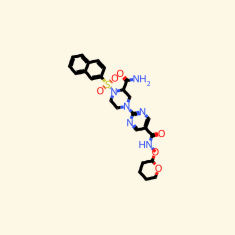 NC(=O)C1CN(c2ncc(C(=O)NOC3CCCCO3)cn2)CCN1S(=O)(=O)c1ccc2ccccc2c1